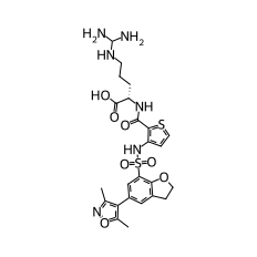 Cc1noc(C)c1-c1cc2c(c(S(=O)(=O)Nc3ccsc3C(=O)N[C@@H](CCCNC(N)N)C(=O)O)c1)OCC2